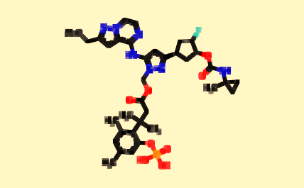 COCc1cc2c(Nc3cc([C@H]4C[C@@H](F)[C@@H](OC(=O)NC5(C)CC5)C4)nn3COC(=O)CC(C)(C)c3c(C)cc(C)cc3OP(=O)(O)O)nccn2n1